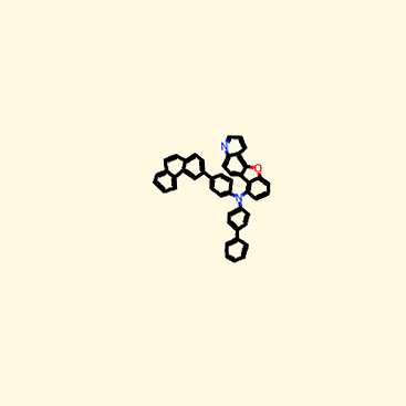 c1ccc(-c2ccc(N(c3ccc(-c4ccc5ccc6ccccc6c5c4)cc3)c3cccc4oc5c6cccnc6ccc5c34)cc2)cc1